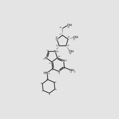 Nc1nc(NC2CCCCC2)c2ncn([C@@H]3O[C@H](CO)[C@H](O)[C@@H]3O)c2n1